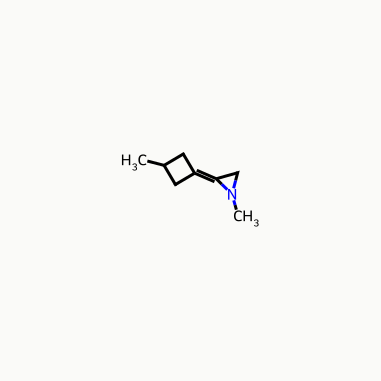 CC1CC(=C2CN2C)C1